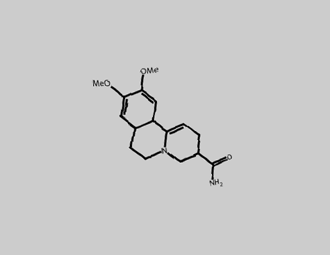 COC1=CC2CCN3CC(C(N)=O)CC=C3C2C=C1OC